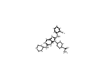 NC(=O)C1CCC(n2c(Nc3ccccc3F)nc3cnc(NC4CCOCC4)nc32)CC1